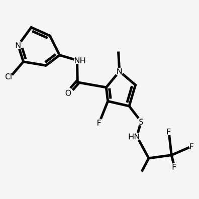 CC(NSc1cn(C)c(C(=O)Nc2ccnc(Cl)c2)c1F)C(F)(F)F